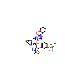 Cc1nc(C(=O)N2CC3CC3C2CNc2nc3ccccc3o2)c(-c2cccc(OC(F)(F)F)c2)s1